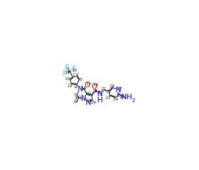 C[C@H]1CN(c2ccc(C(F)(F)F)cc2)C(=O)c2c(C(=O)NCc3ccc(N)nc3)cnn21